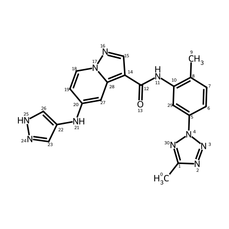 Cc1nnn(-c2ccc(C)c(NC(=O)c3cnn4ccc(Nc5cn[nH]c5)cc34)c2)n1